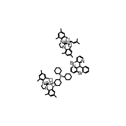 Brc1cccnc1C(c1ccccc1)c1ncccc1Br.C1CCC(P(C2CCCCC2)C2CCCCC2)CC1.CC(C)=C[CH]=[Ru-4]([Cl])([Cl])=[C]1N(c2c(C)cc(C)cc2C)CCN1c1c(C)cc(C)cc1C.Cc1cc(C)c(N2CCN(c3c(C)cc(C)cc3C)[C]2=[Ru-2]([Cl])[Cl])c(C)c1